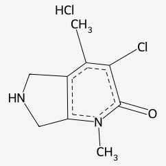 Cc1c2c(n(C)c(=O)c1Cl)CNC2.Cl